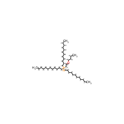 CCCCCCCCCCCC[PH](CCCCCCCCCCCC)(CCCCCCCCCCCC)CCOCCCC